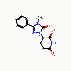 Cn1c(-c2ccccc2)nn(C2CCC(=O)NC2=O)c1=O